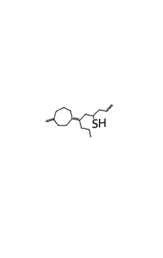 C=CCC(S)C/C(CCC)=C1\CCCC(=C)CC1